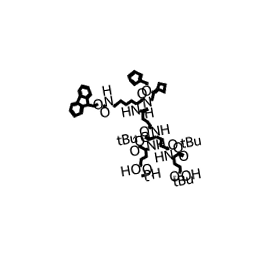 C=C(CCC(=O)NC(CCC(=O)NC(CCC(O)OC(C)(C)C)C(=O)OC(C)(C)C)C(=O)NC(CCC(O)O[PH](C)(C)C)C(=O)OC(C)(C)C)NC(CCCCNC(=O)OCC1c2ccccc2-c2ccccc21)C(=O)NCC(OCc1ccccc1)=C1CCC1